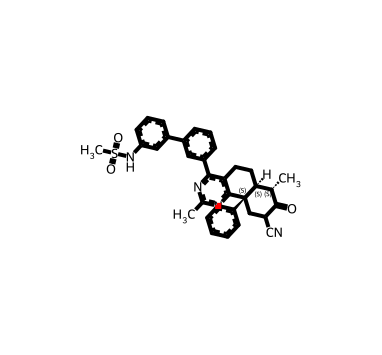 Cc1nc(-c2cccc(-c3cccc(NS(C)(=O)=O)c3)c2)c2c(n1)[C@@]1(c3ccccc3)CC(C#N)C(=O)[C@@H](C)[C@@H]1CC2